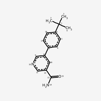 CC(C)(C)c1ccc(-c2cncc(C(N)=O)c2)cc1